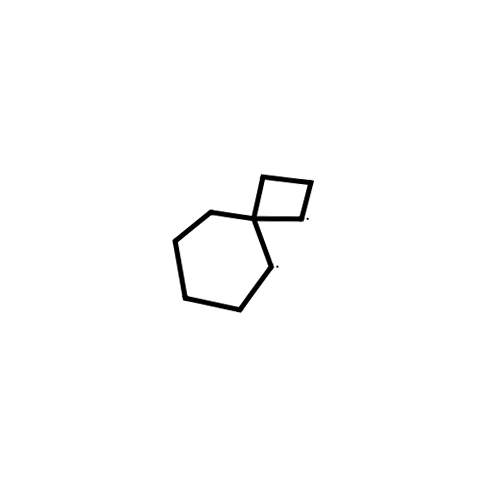 [CH]1CCCCC12[CH]CC2